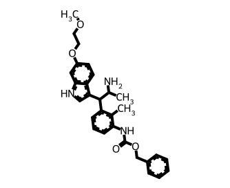 COCCOc1ccc2c(C(c3cccc(NC(=O)OCc4ccccc4)c3C)C(C)N)c[nH]c2c1